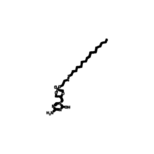 CCCCCCCCCCCCCCCCSSCCOP1(=O)COC(CN2C=NC(N)=NC2O)CO1